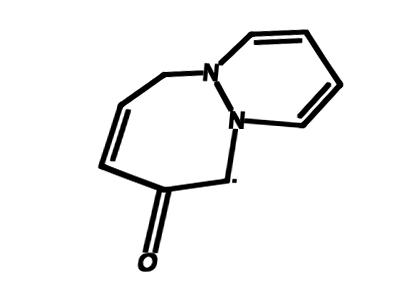 O=C1[CH]N2C=CC=CN2CC=C1